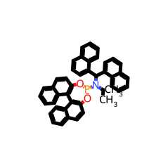 CC(C)N(C(c1cccc2ccccc12)c1cccc2ccccc12)p1oc2ccc3ccccc3c2c2c(ccc3ccccc32)o1